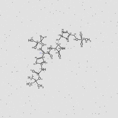 CC(C)(C)OC(=O)Nc1nc(/C(=N/OC2(C(=O)O)CC2)C(=O)NC2C(=O)N[C@H]2Cn2ncc(COS(C)(=O)=O)n2)cs1